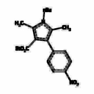 CCCCn1c(C)c(C(=O)OCC)c(-c2ccc([N+](=O)[O-])cc2)c1C